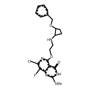 CSc1nc2c(F)c(Cl)nc(OCCNC3CCC3OCc3ccccc3)c2c(=O)[nH]1